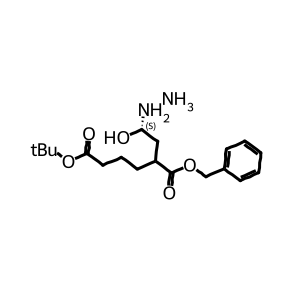 CC(C)(C)OC(=O)CCCC(C[C@@H](N)O)C(=O)OCc1ccccc1.N